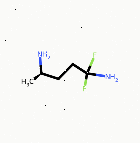 C[C@@H](N)CCC(N)(F)F